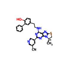 C[C@@H]1CSc2nc3c(NCCc4ccc(O)c(-c5ccccc5)c4)nc(-c4cncc(C#N)c4)nc3n21